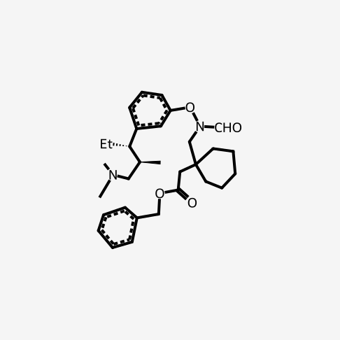 CC[C@H](c1cccc(ON(C=O)CC2(CC(=O)OCc3ccccc3)CCCCC2)c1)[C@@H](C)CN(C)C